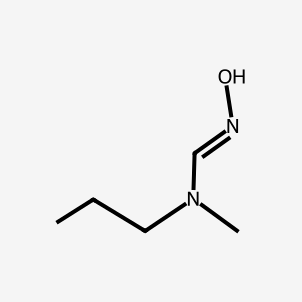 CCCN(C)C=NO